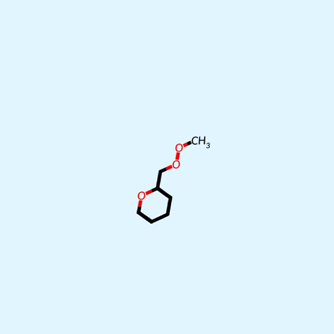 COOCC1CCCCO1